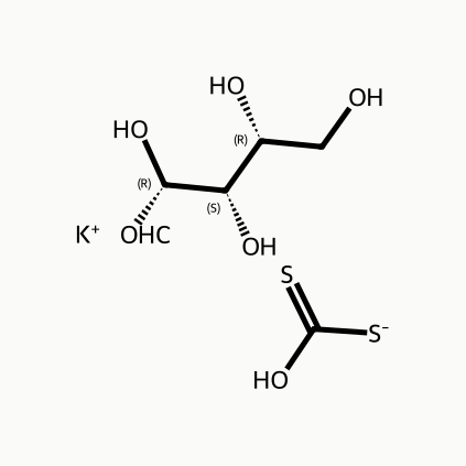 O=C[C@H](O)[C@@H](O)[C@H](O)CO.OC(=S)[S-].[K+]